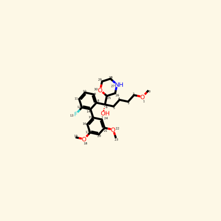 COCCCC[C@@](O)(c1cccc(F)c1-c1cc(OC)cc(OC)c1)C1CNCCO1